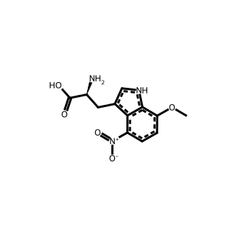 COc1ccc([N+](=O)[O-])c2c(C[C@H](N)C(=O)O)c[nH]c12